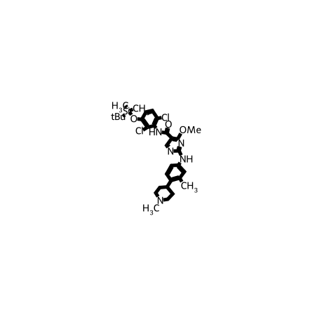 COc1nc(Nc2ccc(C3CCN(C)CC3)c(C)c2)ncc1C(=O)Nc1c(Cl)ccc(O[Si](C)(C)C(C)(C)C)c1Cl